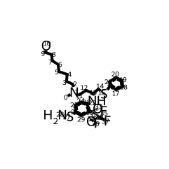 CN(CCCCCCCC=O)CCC(CSc1ccccc1)Nc1ccc(SN)cc1S(=O)(=O)C(F)(F)F